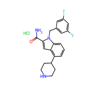 Cl.NC(=O)c1cc2c(C3CCNCC3)cccc2n1Cc1cc(F)cc(F)c1